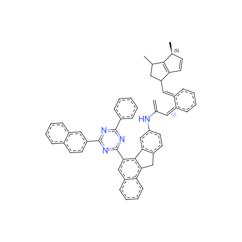 C=C(/C=c1/ccccc1=CC1CC(C)C2=C1C=C[C@@H]2C)Nc1ccc2c(c1)-c1c(-c3nc(-c4ccccc4)nc(-c4ccc5ccccc5c4)n3)cc3ccccc3c1C2